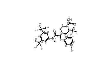 CN(C(=O)N(C)[C@H]1CCN(C(=O)O)C(C(C)(C)C)[C@@H]1c1ccc(F)cc1)c1cc(C(F)(F)F)cc(C(F)(F)F)c1